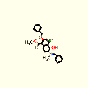 COC(=O)c1c(OCc2ccccc2)ccc2c1CC[C@H](N(C)Cc1ccccc1)[C@@H]2O.Cl